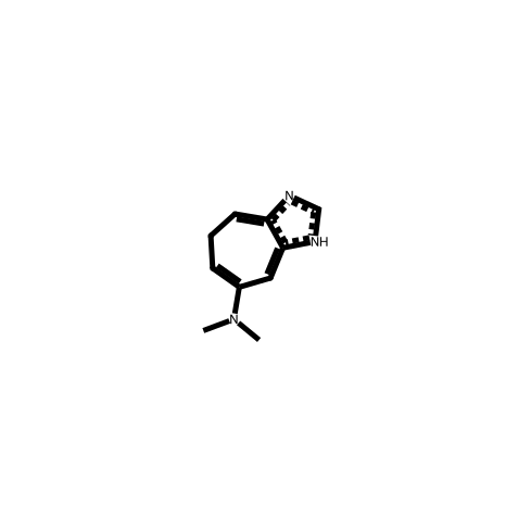 CN(C)C1=CCC=c2nc[nH]c2=C1